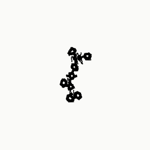 Cc1cc(-n2c3ccccc3c3cc(-n4c5ccccc5c5ccccc54)ccc32)c(C)cc1-c1ccc(-c2nc(-c3ccccc3)nc(-c3ccccc3)n2)cc1